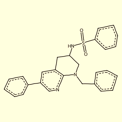 O=S(=O)(NC1Cc2cc(-c3ccccc3)cnc2N(Cc2ccccc2)C1)c1ccccc1